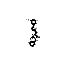 O=C1C(=Cc2ccc(-c3cccc(C(F)(F)F)c3)o2)SC(=S)N1Cc1ccccc1